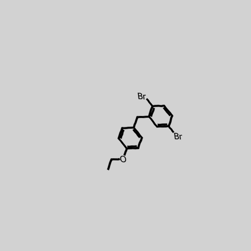 CCOc1ccc(Cc2cc(Br)ccc2Br)cc1